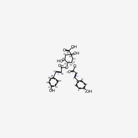 O=C(/C=C/c1ccc(O)cc1)O[C@H]1C[C@@](O)(C(=O)O)CC(O)[C@@H]1OC(=O)/C=C/c1ccc(O)cc1